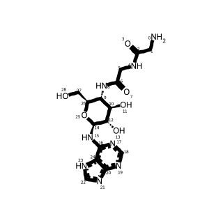 NCC(=O)NCC(=O)N[C@@H]1[C@@H](O)[C@H](O)[C@@H](Nc2ncnc3nc[nH]c23)O[C@H]1CO